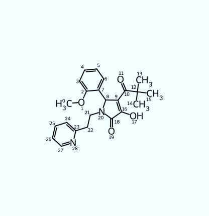 COc1ccccc1C1C(C(=O)C(C)(C)C)=C(O)C(=O)N1CCc1ccccn1